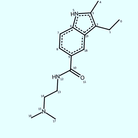 CCc1c(C)[nH]c2ccc(C(=O)NCCN(C)C)cc12